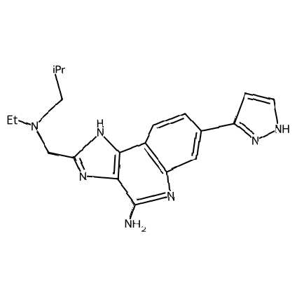 CCN(Cc1nc2c(N)nc3cc(-c4cc[nH]n4)ccc3c2[nH]1)CC(C)C